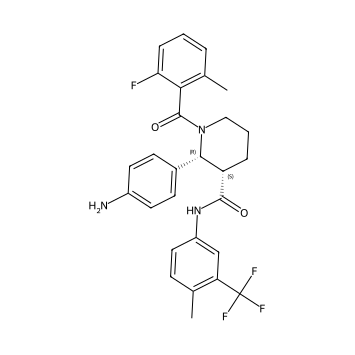 Cc1ccc(NC(=O)[C@H]2CCCN(C(=O)c3c(C)cccc3F)[C@H]2c2ccc(N)cc2)cc1C(F)(F)F